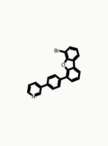 Brc1cccc2c1oc1c(-c3ccc(-c4cccnc4)cc3)cccc12